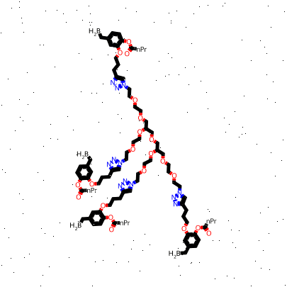 BCc1ccc(OC(=O)CCC)c(OCCCc2cn(CCOCCOCC(COCC(COCCOCCn3cc(CCCOc4cc(CB)ccc4OC(=O)CCC)nn3)OCCOCCn3cc(CCCOc4cc(CB)ccc4OC(=O)CCC)nn3)OCCOCCn3cc(CCCOc4cc(CB)ccc4OC(=O)CCC)nn3)nn2)c1